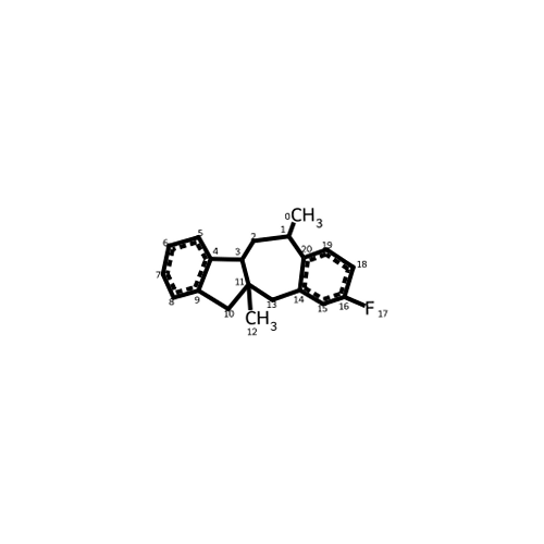 CC1CC2c3ccccc3CC2(C)Cc2cc(F)ccc21